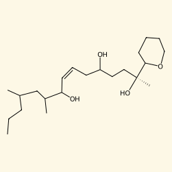 CCCC(C)CC(C)C(O)/C=C\CC(O)CC[C@](C)(O)C1CCCCO1